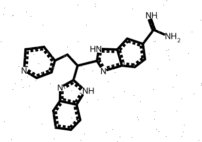 N=C(N)c1ccc2nc(C(Cc3ccncc3)c3nc4ccccc4[nH]3)[nH]c2c1